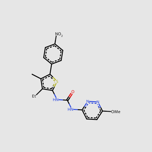 CCc1c(NC(=O)Nc2ccc(OC)nn2)sc(-c2ccc([N+](=O)[O-])cc2)c1C